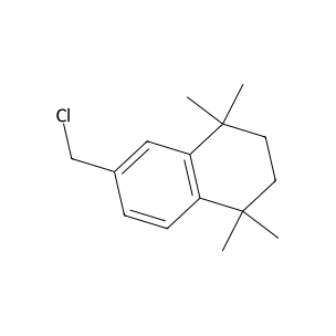 CC1(C)CCC(C)(C)c2cc(CCl)ccc21